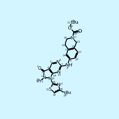 CC(C)n1c(=O)c2cnc(Nc3ccc4c(c3)CCN(C(=O)OC(C)(C)C)C4)nc2n1-c1nc(C(C)(C)C)cs1